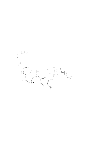 COCCOc1cnc2c(Nc3ccc(F)c(C[C@](C)(CF)S/C(N)=N\CF)c3)nccc2n1